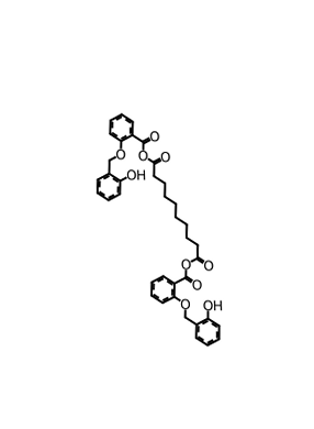 O=C(CCCCCCCCC(=O)OC(=O)c1ccccc1OCc1ccccc1O)OC(=O)c1ccccc1OCc1ccccc1O